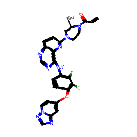 C=CC(=O)N1CCN(c2ccc3ncnc(Nc4ccc(Oc5ccn6ncnc6c5)c(Cl)c4F)c3n2)C[C@H]1C(C)(C)C